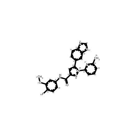 COc1cc(NC(=O)c2cc(-c3ccc4ncsc4c3)n(-c3cccc(C)n3)n2)ccc1F